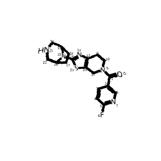 O=C(c1ccc(F)nc1)N1CCc2nc(N3C4CCC3CNC4)sc2C1